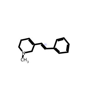 CN1CCC=C(/C=C/c2ccccc2)C1